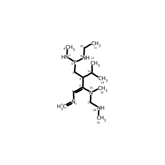 C=N/C=C(/C(CP(NC)NCC)C(C)C)N(C)CNC